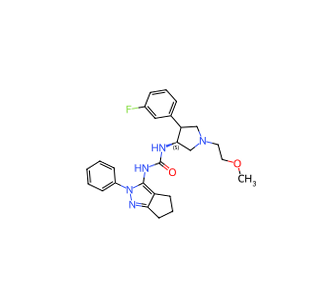 COCCN1CC(c2cccc(F)c2)[C@H](NC(=O)Nc2c3c(nn2-c2ccccc2)CCC3)C1